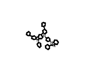 c1ccc(-c2ccc3c(c2)c2cc4c5cc(-c6ccccc6)ccc5n(-c5ccc(-n6c(-c7ccccc7)nc7ccccc76)cc5)c4cc2n3-c2ccccc2)cc1